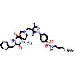 CCCCN1C(=O)[C@H](CC2CCCCC2)NC(=O)C12CCN(Cc1c(C)nn(-c3ccc(S(=O)(=O)NCCCOC)cc3)c1C)CC2